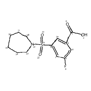 O=C(O)c1cc(F)cc(S(=O)(=O)N2CCCCCC2)c1